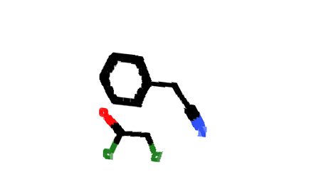 N#CCc1ccccc1.O=C(Cl)CCl